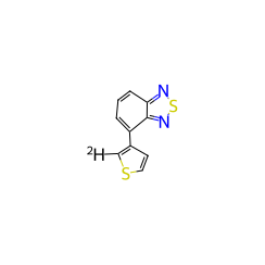 [2H]c1sccc1-c1cccc2nsnc12